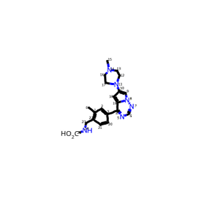 Cc1cc(-c2ncnn3cc(N4CCN(C)CC4)cc23)ccc1CNC(=O)O